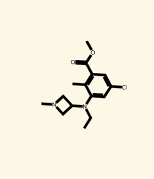 CCN(c1cc(Cl)cc(C(=O)OC)c1C)C1CN(C)C1